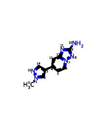 Cn1cc(-c2ccn3nc(N)nc3c2)cn1